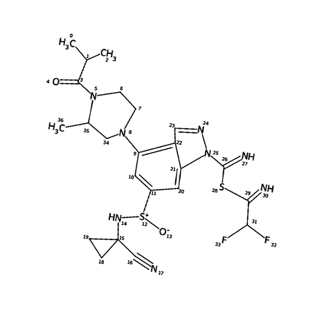 CC(C)C(=O)N1CCN(c2cc([S+]([O-])NC3(C#N)CC3)cc3c2cnn3C(=N)SC(=N)C(F)F)CC1C